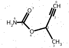 C#CC(C)OC(N)=O